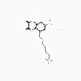 Br.O=c1[nH]c2cc([N+](=O)[O-])cc(CNCCCCP(=O)(O)O)c2[nH]c1=O